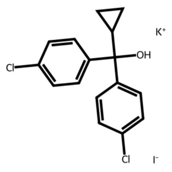 OC(c1ccc(Cl)cc1)(c1ccc(Cl)cc1)C1CC1.[I-].[K+]